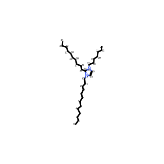 CCCCCCCCCCCCCN1C=CN(CCCCCCC)C1CCCCCCCCCC